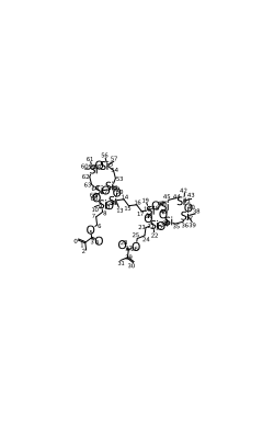 C=C(C)C(=O)OCCC[Si]1(C)O[Si](C)(CCCC[Si]2(C)O[Si](C)(CCCOC(=O)C(=C)C)O[Si]3(C)CC[Si](C)(C)O[Si](C)(C)CC[Si](C)(O2)O3)O[Si]2(C)CC[Si](C)(C)O[Si](C)(C)CC[Si](C)(O1)O2